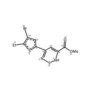 CCc1sc(C2=NSNC(C(=O)OC)=C2)cc1Br